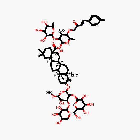 CC(=O)OC1C(OCC(=O)/C=C/c2ccc(C)cc2)C(C)OC(OC(=O)[C@]23CCC(C)(C)C[C@H]2C2CC[C@@H]4[C@@]5(C)CC[C@H](OC6OC(OC=O)C(O)C(OC7OCC(O)C(O)C7O)C6OC6OC(CO)C(O)C(O)C6O)[C@@](C)(C=O)[C@@H]5CC[C@@]4(C)[C@]2(C)C[C@H]3O)C1OC1OC(C)C(O)C(O)C1O